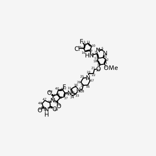 COc1cc2ncnc(Nc3ccc(F)c(Cl)c3)c2cc1OCCCN1CCC(CN2CC3CC2CN3c2cc3c(cc2F)C(=O)N(C2CCC(=O)NC2=O)C3=O)CC1